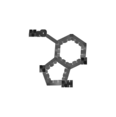 COc1ccnc2[nH]cnc12